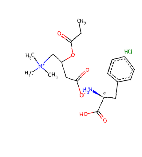 CCC(=O)OC(CC(=O)[O-])C[N+](C)(C)C.Cl.N[C@@H](Cc1ccccc1)C(=O)O